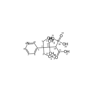 CCC(CC)(c1cccnc1)C(C)(C)C(C(=O)O)P(=O)(O)O